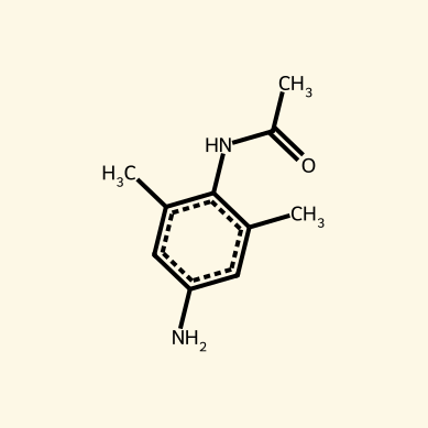 CC(=O)Nc1c(C)cc(N)cc1C